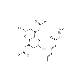 C/C=C/C=C/C(=O)O.O=C([O-])CN(CCN(CC(=O)[O-])CC(=O)O)CC(=O)O.[Na+].[Na+]